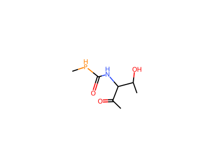 CPC(=O)NC(C(C)=O)C(C)O